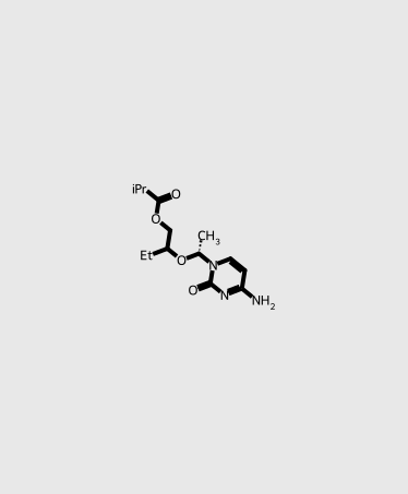 CCC(COC(=O)C(C)C)O[C@H](C)n1ccc(N)nc1=O